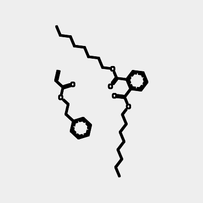 C=CC(=O)OCCc1ccccc1.CCCCCCCCOC(=O)c1ccccc1C(=O)OCCCCCCCC